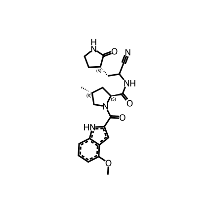 COc1cccc2[nH]c(C(=O)N3C[C@H](C)C[C@H]3C(=O)NC(C#N)C[C@@H]3CCNC3=O)cc12